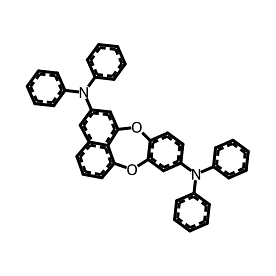 c1ccc(N(c2ccccc2)c2ccc3c(c2)Oc2cccc4cc(N(c5ccccc5)c5ccccc5)cc(c24)O3)cc1